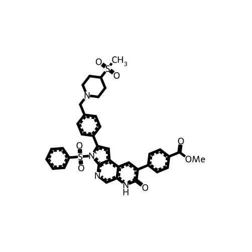 COC(=O)c1ccc(-c2cc3c(cnc4c3cc(-c3ccc(CN5CCC(S(C)(=O)=O)CC5)cc3)n4S(=O)(=O)c3ccccc3)[nH]c2=O)cc1